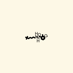 COc1cccc(C(=O)NNCCCCCC(C)(C)C)c1C